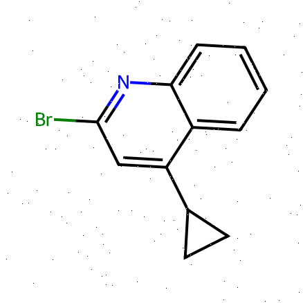 Brc1cc(C2CC2)c2ccccc2n1